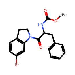 CC(C)(C)OC(=O)NC(Cc1ccccc1)C(=O)N1CCc2ccc(Br)cc21